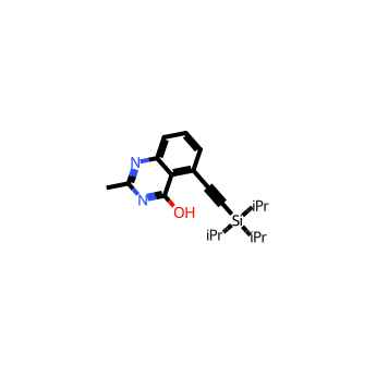 Cc1nc(O)c2c(C#C[Si](C(C)C)(C(C)C)C(C)C)cccc2n1